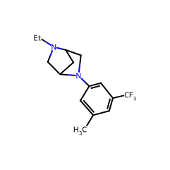 CCN1CC2CC1CN2c1cc(C)cc(C(F)(F)F)c1